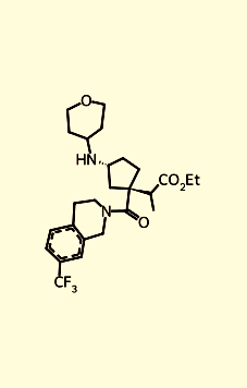 CCOC(=O)C(C)[C@]1(C(=O)N2CCc3ccc(C(F)(F)F)cc3C2)CC[C@@H](NC2CCOCC2)C1